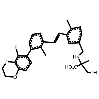 Cc1ccc(CNC(C)(CO)C(=O)O)cc1/C=C/c1cccc(-c2ccc3c(c2F)OCCO3)c1C